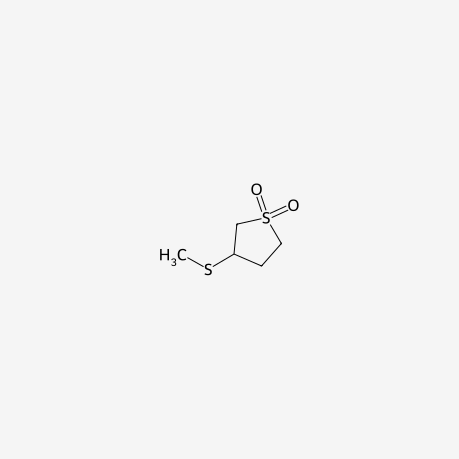 CSC1CCS(=O)(=O)C1